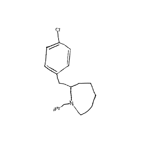 CC(C)N1CCCCCC1Cc1ccc(Cl)cc1